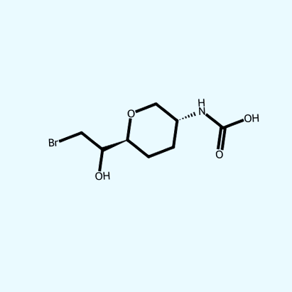 O=C(O)N[C@@H]1CC[C@@H](C(O)CBr)OC1